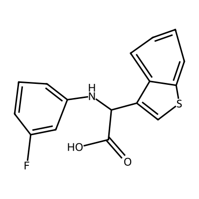 O=C(O)C(Nc1cccc(F)c1)c1csc2ccccc12